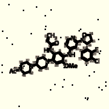 C=CC(=O)Nc1cc(Nc2cc(N3OCC[C@@H]3c3cccc(Cl)c3F)ncn2)c(OC)cc1N1CCC(N2CCN(C(C)=O)CC2)CC1